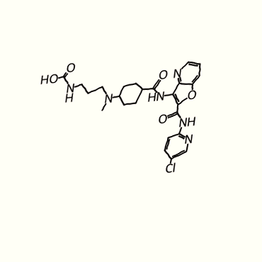 CN(CCCNC(=O)O)C1CCC(C(=O)Nc2c(C(=O)Nc3ccc(Cl)cn3)oc3cccnc23)CC1